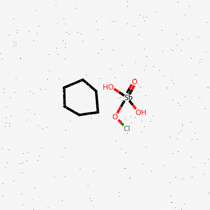 C1CCCCC1.[O]=[Sb]([OH])([OH])[O]Cl